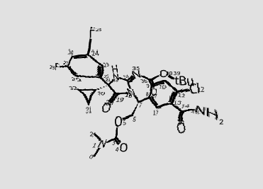 CN(C)C(=O)OC[C@H](c1ccc(Cl)c(C(N)=O)c1)N1C(=O)[C@](c2cc(F)cc(F)c2)(C2CC2)N/C1=N/C(=O)OC(C)(C)C